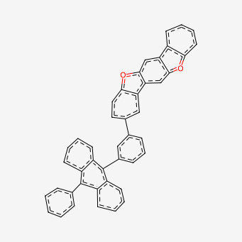 c1ccc(-c2c3ccccc3c(-c3cccc(-c4ccc5oc6cc7c(cc6c5c4)oc4ccccc47)c3)c3ccccc23)cc1